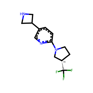 FC(F)(F)[C@H]1CCN(c2ccc(C3CNC3)cn2)C1